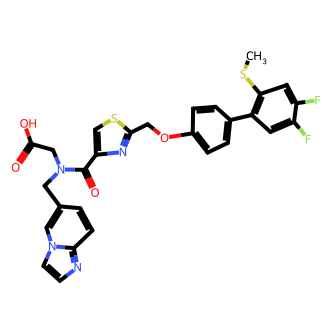 CSc1cc(F)c(F)cc1-c1ccc(OCc2nc(C(=O)N(CC(=O)O)Cc3ccc4nccn4c3)cs2)cc1